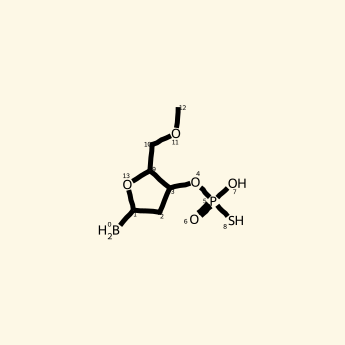 BC1CC(OP(=O)(O)S)C(COC)O1